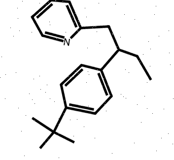 CCC(Cc1ccccn1)c1ccc(C(C)(C)C)cc1